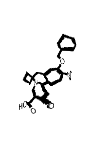 CN(C)c1cc2c(cc1OCc1ccccc1)CC1(CCC1)n1cc(C(=O)O)c(=O)cc1-2